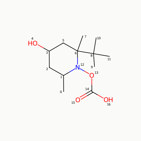 CC1CC(O)CC(C)(C(C)(C)C)N1OC(=O)O